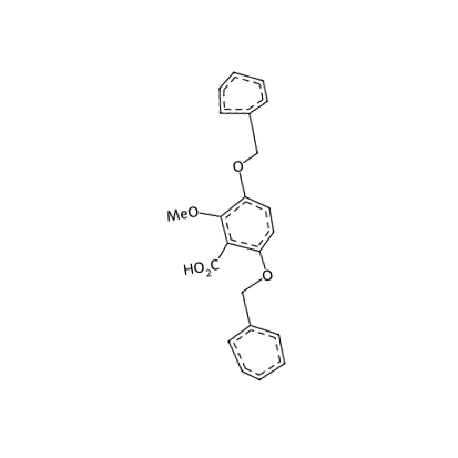 COc1c(OCc2ccccc2)ccc(OCc2ccccc2)c1C(=O)O